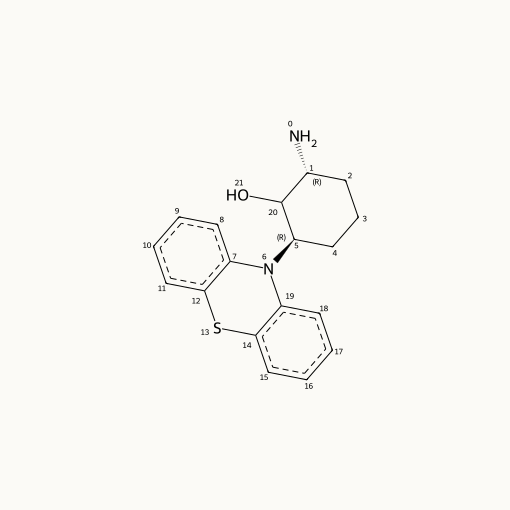 N[C@@H]1CCC[C@@H](N2c3ccccc3Sc3ccccc32)C1O